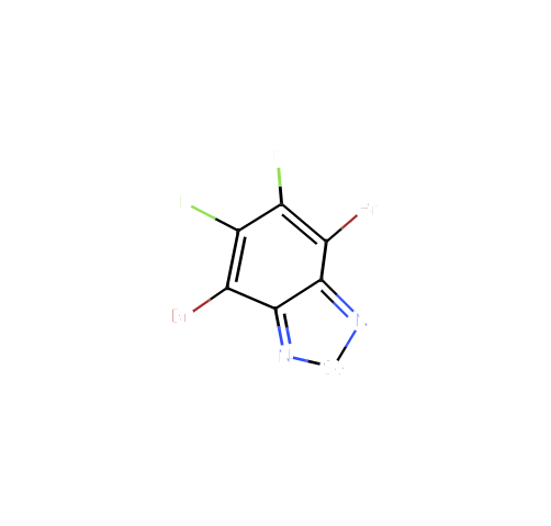 Fc1c(F)c(Br)c2n[se]nc2c1Br